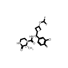 C[C@@H]1C(=O)NCCN1C(=O)N[C@@H](c1ccc(F)c(Cl)c1)[C@H]1C[C@@H](OC(F)F)C1